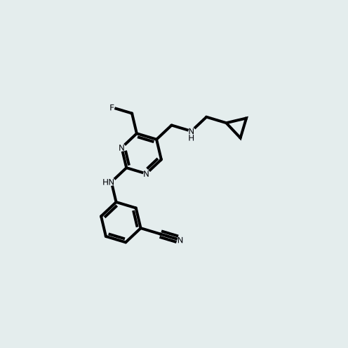 N#Cc1cccc(Nc2ncc(CNCC3CC3)c(CF)n2)c1